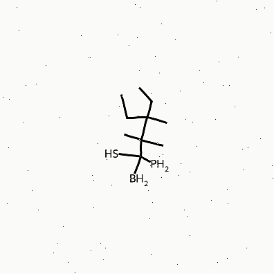 BC(P)(S)C(C)(C)C(C)(CC)CC